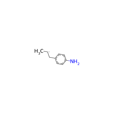 C[CH]Cc1ccc(N)cc1